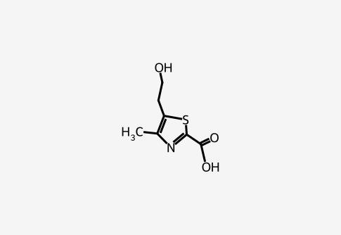 Cc1nc(C(=O)O)sc1CCO